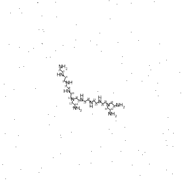 NCCNCCNCCNCCN(CCN)CCNCCNCCNCCN(CCN)CCN